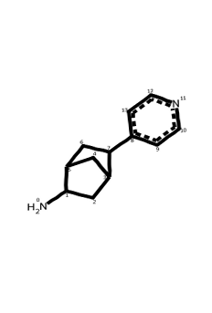 NC1CC2CC1CC2c1ccncc1